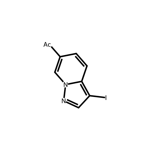 CC(=O)c1ccc2c(I)cnn2c1